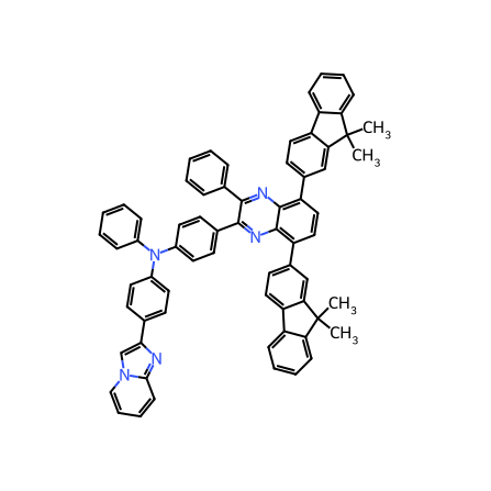 CC1(C)c2ccccc2-c2ccc(-c3ccc(-c4ccc5c(c4)C(C)(C)c4ccccc4-5)c4nc(-c5ccc(N(c6ccccc6)c6ccc(-c7cn8ccccc8n7)cc6)cc5)c(-c5ccccc5)nc34)cc21